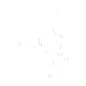 COc1ccc(Cn2cnc3c(F)c(CNc4ccc(SBr)cc4Cl)c(C(=O)NOCCO)cc32)cc1